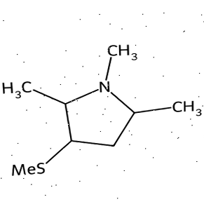 CSC1CC(C)N(C)C1C